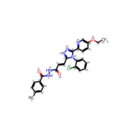 N#Cc1ccc(C(=O)NNC(=O)C=Cc2nnc(-c3ccc(OCC(F)(F)F)cn3)n2-c2ccccc2Cl)cc1